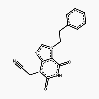 N#CCn1c(=O)[nH]c(=O)c2c1ncn2CCc1ccccc1